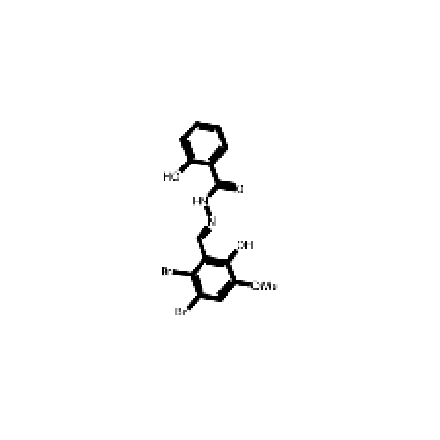 COc1cc(Br)c(Br)c(C=NNC(=O)c2ccccc2O)c1O